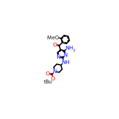 COc1ccccc1C(=O)c1cnc(NC2CCN(C(=O)OC(C)(C)C)CC2)nc1N